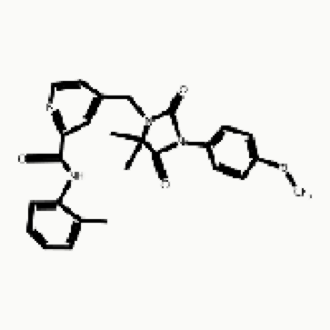 Cc1ccccc1NC(=O)c1cc(CN2C(=O)N(c3ccc(OC(F)(F)F)cc3)C(=O)C2(C)C)ccn1